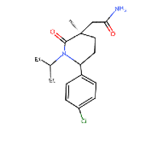 CCC(CC)N1C(=O)[C@@](C)(CC(N)=O)CCC1c1ccc(Cl)cc1